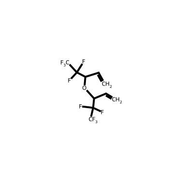 C=CC(OC(C=C)C(F)(F)C(F)(F)F)C(F)(F)C(F)(F)F